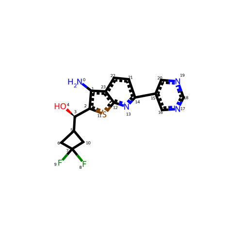 Nc1c([C@H](O)C2CC(F)(F)C2)sc2nc(-c3cncnc3)ccc12